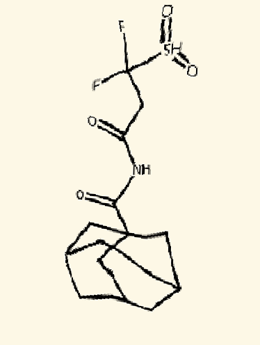 O=C(CC(F)(F)[SH](=O)=O)NC(=O)C12CC3CC(CC(C3)C1)C2